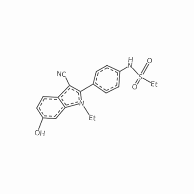 CCn1c(-c2ccc(NS(=O)(=O)CC)cc2)c(C#N)c2ccc(O)cc21